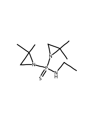 CCNP(=S)(N1CC1(C)C)N1CC1(C)C